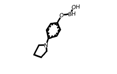 OBOc1ccc(N2CCCC2)cc1